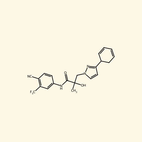 CC(O)(Cn1ccc(C2C=CC=CC2)n1)C(=O)Nc1ccc(C#N)c(C(F)(F)F)c1